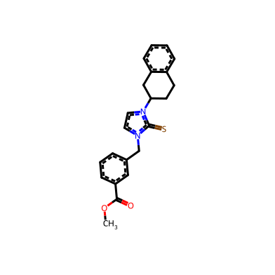 COC(=O)c1cccc(Cn2ccn(C3CCc4ccccc4C3)c2=S)c1